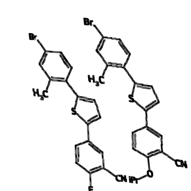 Cc1cc(Br)ccc1-c1ccc(-c2ccc(F)c(C#N)c2)s1.Cc1cc(Br)ccc1-c1ccc(-c2ccc(OC(C)C)c(C#N)c2)s1